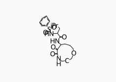 CC(C)CC(NS(=O)(=O)c1ccccc1)C(=O)NC1CCCOCCCNC(=O)C1=O